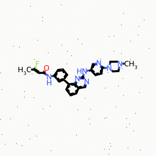 CC(F)=CC(=O)Nc1cccc(-c2cccc3cnc(Nc4ccc(N5CCN(C)CC5)nc4)nc23)c1